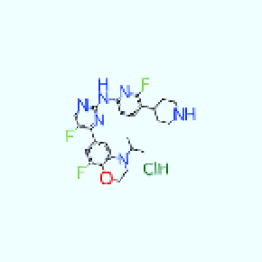 CC(C)N1CCOc2c(F)cc(-c3nc(Nc4ccc(C5CCNCC5)c(F)n4)ncc3F)cc21.Cl